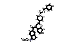 CO/N=C1/CCc2cc(C(=O)C(CC(=O)C3CCN(C(=O)OCc4ccccc4)CC3)c3ccncc3)ccc21